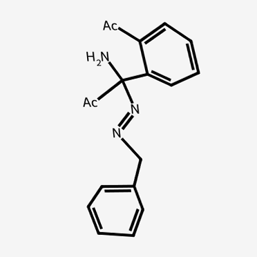 CC(=O)c1ccccc1C(N)(N=NCc1ccccc1)C(C)=O